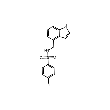 O=S(=O)(NCc1cccc2[nH]ccc12)c1ccc(Cl)cc1